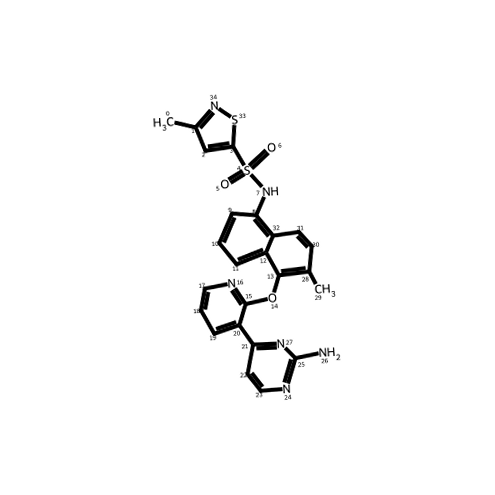 Cc1cc(S(=O)(=O)Nc2cccc3c(Oc4ncccc4-c4ccnc(N)n4)c(C)ccc23)sn1